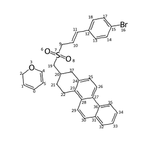 C1=CCOC=C1.O=S(=O)(CC=Cc1ccc(Br)cc1)CC1CCc2c(ccc3c2ccc2ccccc23)C1